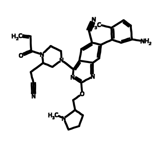 C=CC(=O)N1CCN(c2nc(OCC3CCCN3C)nc3cc(-c4cc(N)ccc4C)c(C#N)cc23)CC1CC#N